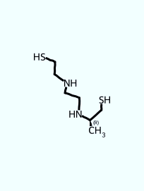 C[C@H](CS)NCCNCCS